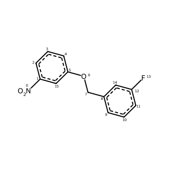 O=[N+]([O-])c1cccc(OCc2cccc(F)c2)c1